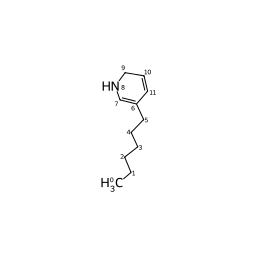 CCCCCCC1=CNCC=C1